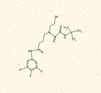 CC(C)(NC(=O)C(=O)N(CCS)CCCC(=O)Nc1cc(F)c(F)c(Cl)c1)C(F)(F)F